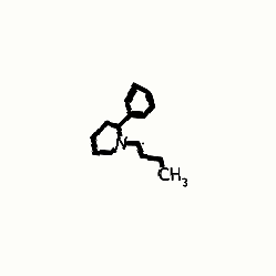 CCC[CH]N1CCCCC1c1ccccc1